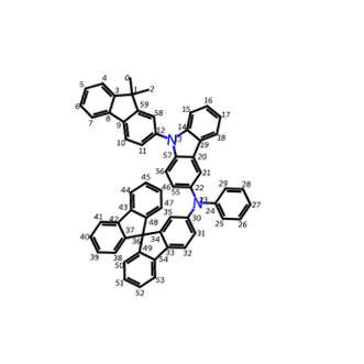 CC1(C)c2ccccc2-c2ccc(-n3c4ccccc4c4cc(N(c5ccccc5)c5ccc6c(c5)C5(c7ccccc7-c7ccccc75)c5ccccc5-6)ccc43)cc21